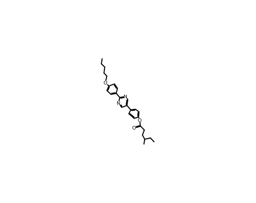 CCCCCOc1ccc(-c2ncc(-c3ccc(OC(=O)CCC(C)CC)cc3)cn2)cc1